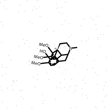 COC1=C(OC)[C@@]23CCN(C)C(Cc4ccc(OC)c(O)c42)C3CC1